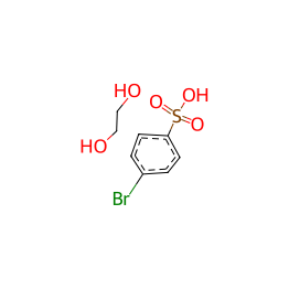 O=S(=O)(O)c1ccc(Br)cc1.OCCO